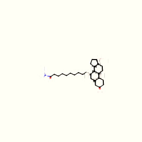 CCC(C)NC(=O)CCCCCCCCC[C@@H]1C[C@H]2CC(=O)CC[C@]2(C)[C@H]2CC[C@]3(C)[C@@H](O)CC[C@H]3[C@H]12